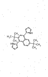 CC(C)(C)c1ccc2c(-c3ccc[nH]3)c(C(C)(C)C)cc(-c3ccc[nH]3)c2c1